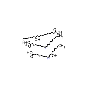 CCCCCCC(O)C/C=C\CCCCCCCC(=O)O.CCCCCCC(O)CCCCCCCCCCC(=O)O.CCCCCCCC/C=C\CCCCCCCC(=O)O